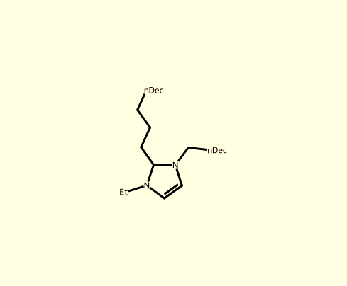 CCCCCCCCCCCCCC1N(CC)C=CN1CCCCCCCCCCC